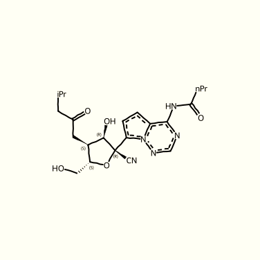 CCCC(=O)Nc1ncnn2c([C@]3(C#N)O[C@H](CO)[C@@H](CC(=O)CC(C)C)[C@H]3O)ccc12